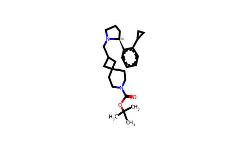 CC(C)(C)OC(=O)N1CCC2(CC1)CC(CN1CCC[C@H]1c1ccccc1C1CC1)C2